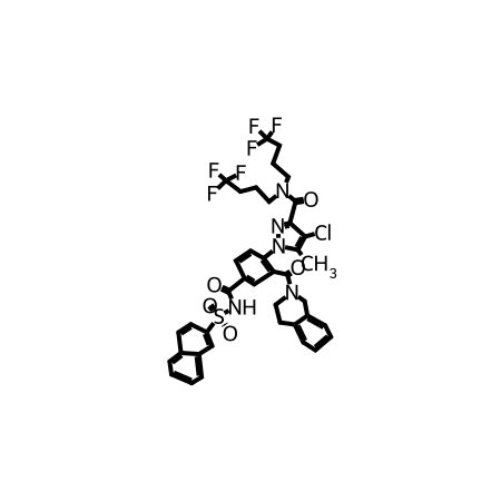 Cc1c(Cl)c(C(=O)N(CCCC(F)(F)F)CCCC(F)(F)F)nn1-c1ccc(C(=O)NS(=O)(=O)c2ccc3ccccc3c2)cc1C(=O)N1CCc2ccccc2C1